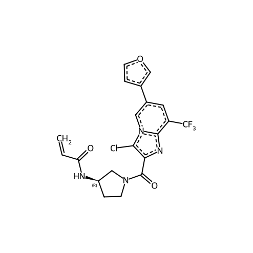 C=CC(=O)N[C@@H]1CCN(C(=O)c2nc3c(C(F)(F)F)cc(-c4ccoc4)cn3c2Cl)C1